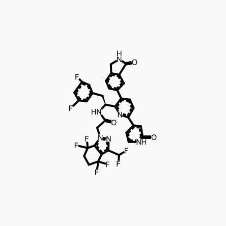 O=C(Cn1nc(C(F)F)c2c1C(F)(F)CCC2(F)F)N[C@@H](Cc1cc(F)cc(F)c1)c1nc(-c2cc[nH]c(=O)c2)ccc1-c1ccc2c(c1)C(=O)NC2